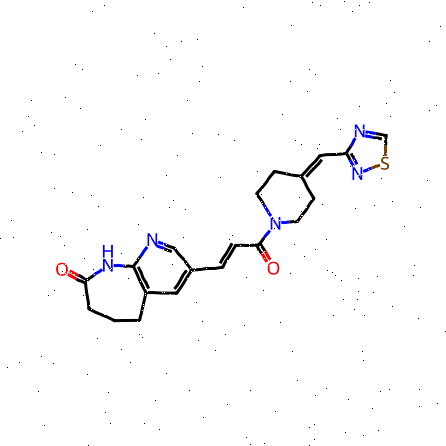 O=C1CCCc2cc(/C=C/C(=O)N3CCC(=Cc4ncsn4)CC3)cnc2N1